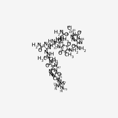 CN(C)N/N=C1\N=CN=C1C(N)=O.CO[C@@]12[C@H](COC(N)=O)C3=C(C(=O)C(C)=C(N)C3=O)N1C[C@@H]1N[C@@H]12.Cn1nnc2c(C(N)=O)ncn2c1=O.NC(=O)c1ncn2c(=O)n(CCCl)nnc12.S=P(N1CC1)(N1CC1)N1CC1